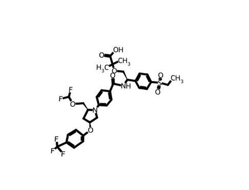 CCS(=O)(=O)c1ccc([C@H](COC(C)(C)C(=O)O)NC(=O)c2ccc(N3C[C@@H](Oc4ccc(C(F)(F)F)cc4)C[C@H]3COC(F)F)cc2)cc1